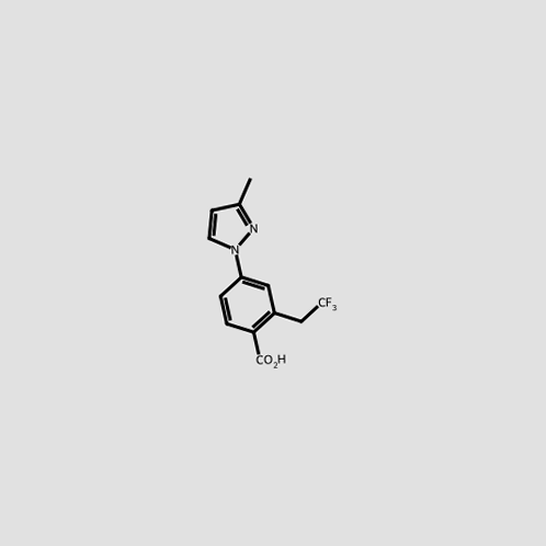 Cc1ccn(-c2ccc(C(=O)O)c(CC(F)(F)F)c2)n1